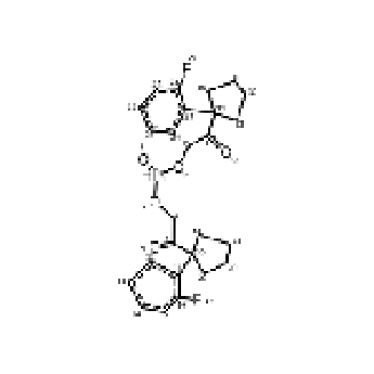 O=C(CO[PH](=O)OCC(=O)C1(c2ccccc2F)CCCC1)C1(c2ccccc2F)CCCC1